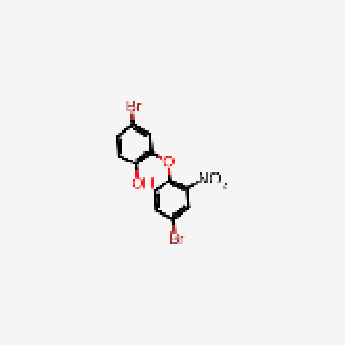 O=[N+]([O-])c1cc(Br)ccc1Oc1cc(Br)ccc1O